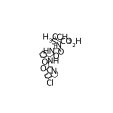 CC1(C)SC2C(NC(=O)C(NC(=O)c3cn4c5c(c(Cl)ccc5c3=O)CCC4)c3ccccc3)C(=O)N2C1C(=O)O